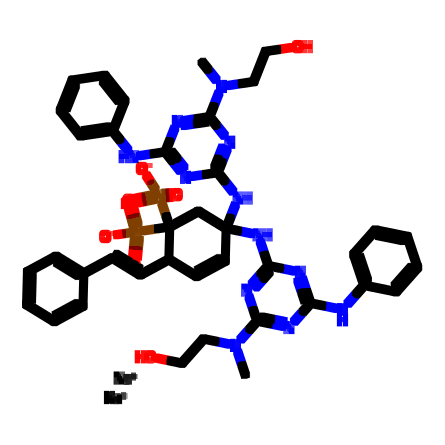 CN(CCO)c1nc(Nc2ccccc2)nc(NC2(Nc3nc(Nc4ccccc4)nc(N(C)CCO)n3)C=CC(C=Cc3ccccc3)C(S(=O)(=O)[O-])(S(=O)(=O)[O-])C2)n1.[Na+].[Na+]